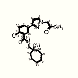 NC(=O)Cn1ccc(-c2ccc(Cl)c(C(=O)NCC3(O)CCCCCC3)c2)n1